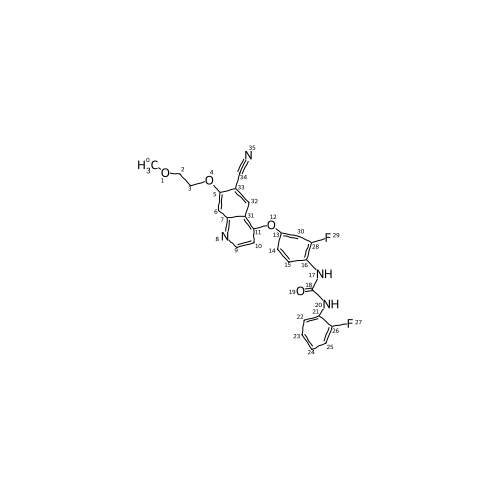 COCCOc1cc2nccc(Oc3ccc(NC(=O)Nc4ccccc4F)c(F)c3)c2cc1C#N